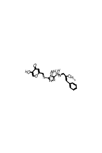 CC(C=NNc1nnc(SCc2cc(=O)c(O)co2)n1N)=Cc1ccccc1